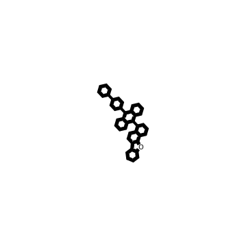 c1ccc(-c2ccc(-c3c4ccccc4c(-c4cccc5c4ccc4c6ccccc6oc54)c4ccccc34)cc2)cc1